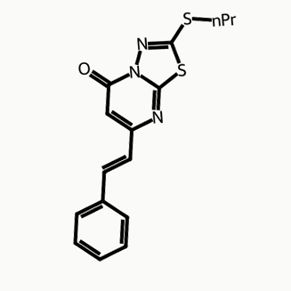 CCCSc1nn2c(=O)cc(/C=C/c3ccccc3)nc2s1